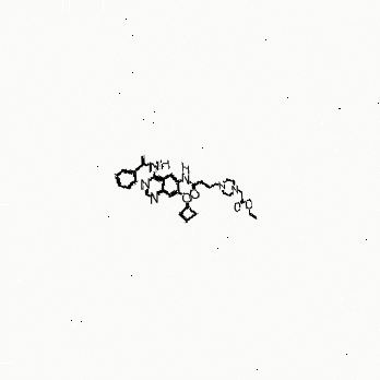 CCOC(=O)CN1CCN(CC=CC(=O)Nc2cc3c(NC(C)c4ccccc4)ncnc3cc2OC2CCC2)CC1